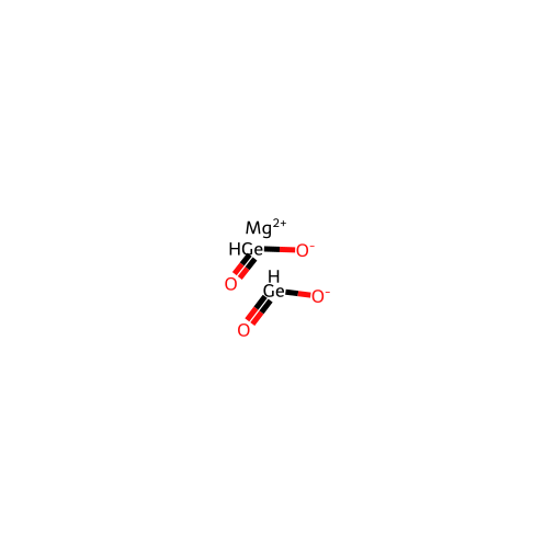 [Mg+2].[O]=[GeH][O-].[O]=[GeH][O-]